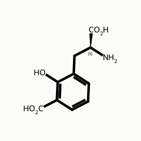 N[C@@H](Cc1cccc(C(=O)O)c1O)C(=O)O